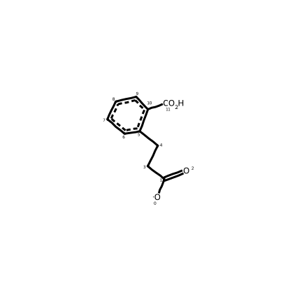 [O]C(=O)CCc1ccccc1C(=O)O